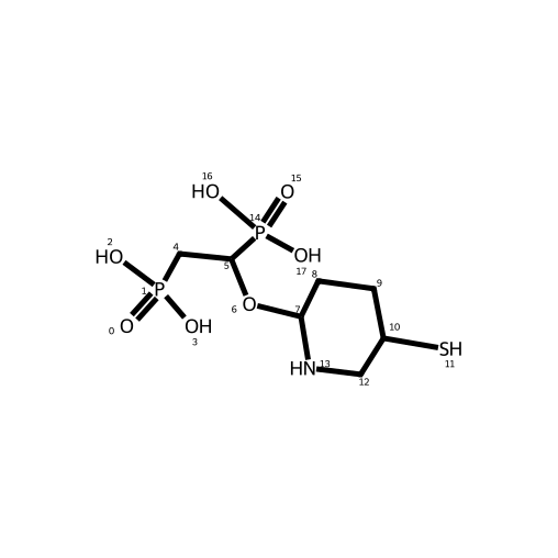 O=P(O)(O)CC(OC1CCC(S)CN1)P(=O)(O)O